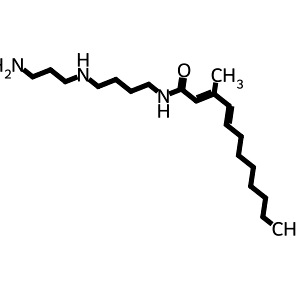 CCCCCCCC=CC(C)=CC(=O)NCCCCNCCCN